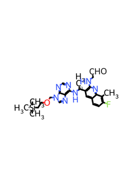 Cc1c(F)ccc2cc([C@H](C)Nc3ncnc4c3ncn4COCC[Si](C)(C)C)c(NCC=O)nc12